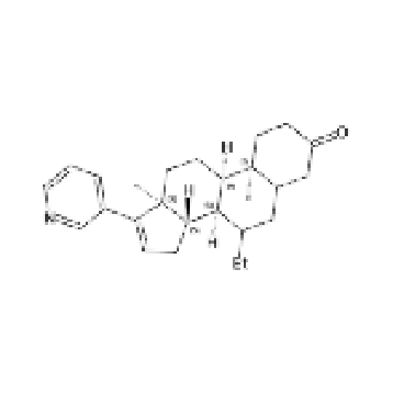 CCC1CC2CC(=O)CC[C@]2(C)[C@@H]2CC[C@]3(C)C(c4cccnc4)=CC[C@H]3[C@H]12